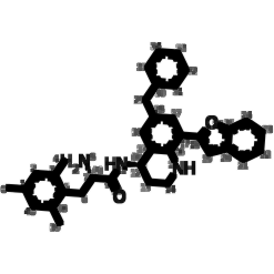 Cc1cc(C)c(C[C@H](N)C(=O)N[C@@H]2CCNc3c(-c4cc5ccccc5o4)cc(Cc4ccccc4)cc32)c(C)c1